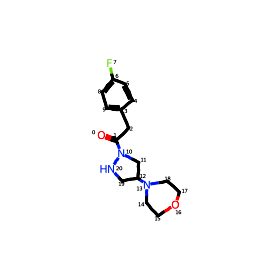 O=C(Cc1ccc(F)cc1)N1CC(N2CCOCC2)CN1